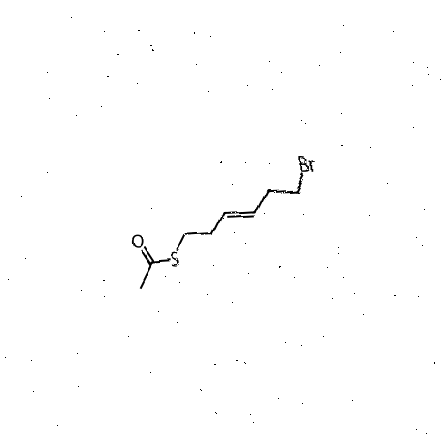 CC(=O)SCC/C=C/CCBr